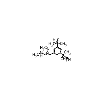 C=NN(CNC)CC1=CC(C(C)(C)C)=CC(C(C)(C)C#N)C1